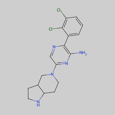 Nc1nc(N2CCC3NCCC3C2)cnc1-c1cccc(Cl)c1Cl